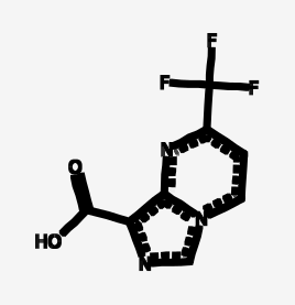 O=C(O)c1ncn2ccc(C(F)(F)F)nc12